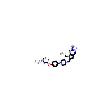 CN(C)CCOc1ccc(N2CCN(Cc3cc4cnc(N)nc4n3CC(C)(C)C)CC2)cc1